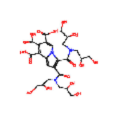 O=C(O)c1cn2c(C(=O)N(CC(O)CO)CC(O)CO)c(C(=O)N(CC(O)CO)CC(O)CO)[c]c2c(C(=O)O)c1C(=O)O